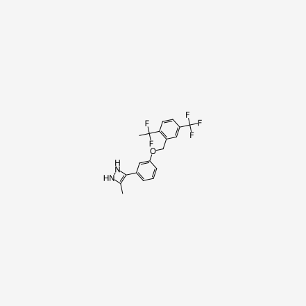 Cc1[nH][nH]c1-c1cccc(OCc2cc(C(F)(F)F)ccc2C(C)(F)F)c1